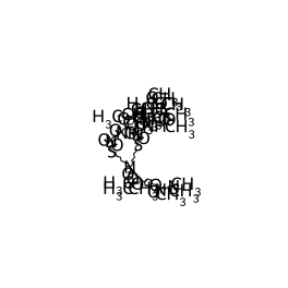 CCOC(C)(C)CC(COCCCNC(=O)CCN1C(=O)CC(SCCCCCCN(CCCCCCSC2CC(=O)N(CCC(=O)NCCCOCC(CC(C)(C)OCC(C)(C)OC)C(C)(C)OCC)C2=O)C(=O)CCCC(OC(=O)C(C)(C)C)c2ccc(OC(=O)N(C)CCCN(C)C)cc2)C1=O)C(C)(C)OCC